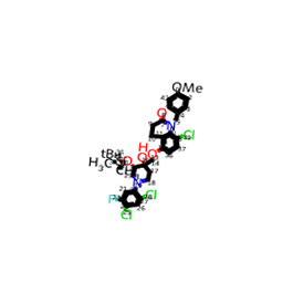 COc1ccc(CN2C(=O)CCc3c(OC[C@]4(O)CCN(c5cc(F)c(Cl)cc5Cl)C[C@H]4O[Si](C)(C)C(C)(C)C)ccc(Cl)c32)cc1